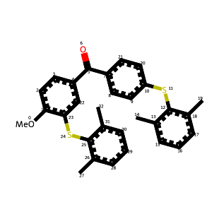 COc1ccc(C(=O)c2ccc(Sc3c(C)cccc3C)cc2)cc1Sc1c(C)cccc1C